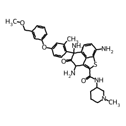 COCc1cccc(Oc2ccc(C3(N)C(=O)C(N)c4c(C(=O)NC5CCCN(C)C5)sc5c(N)ccc3c45)c(C)c2)c1